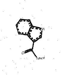 CCCCCC(=O)c1c[nH]c2ccccc12